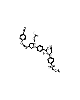 CCS(=O)(=O)c1ccc([C@H](CC#N)NC(=O)c2ccc(N3CC(S#COc4ccc(C#N)cc4)C[C@H]3COC(F)F)cc2)cc1